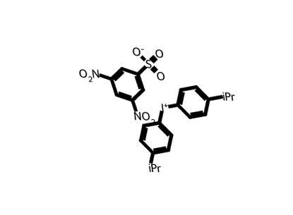 CC(C)c1ccc([I+]c2ccc(C(C)C)cc2)cc1.O=[N+]([O-])c1cc([N+](=O)[O-])cc(S(=O)(=O)[O-])c1